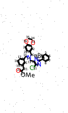 CCCCn1c(-c2ccccc2)nc(Cl)c1CN(Cc1cccc(CC(=O)OC)c1)Cc1ccc2c(c1)OCCO2